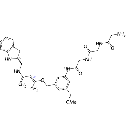 C=C(/C=C(\C)OCc1cc(COC)cc(NC(=O)CNC(=O)CNC(=O)CN)c1)NC[C@@H]1Cc2ccccc2N1